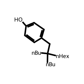 CCCCCCC(CCCC)(CCCC)Cc1ccc(O)cc1